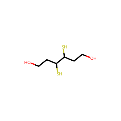 OCCC(S)C(S)CCO